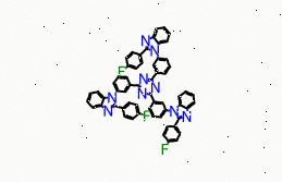 Fc1ccc(-c2nc3ccccc3n2-c2cccc(-c3nc(-c4cccc(-n5c(-c6ccc(F)cc6)nc6ccccc65)c4)nc(-c4cccc(-n5c(-c6ccc(F)cc6)nc6ccccc65)c4)n3)c2)cc1